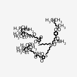 BC(=O)OC(CCCC(=O)N(CCCCCCSC1CC(=O)N(CCC(=O)NCCCOCC(CC(C)(P)OCC)C(C)(C)OCC)C1=O)CCCCCCSC1CC(=O)N(CCC(=O)NCCCOCC(CC(C)(P)OCN)C(C)(P)OCC)C1=O)c1ccc(OC(=O)N(C)CCCN(C)C)cc1